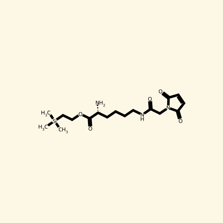 C[Si](C)(C)CCOC(=O)[C@H](N)CCCCNC(=O)CN1C(=O)C=CC1=O